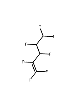 FC(F)=C(F)C(F)C(F)C(F)I